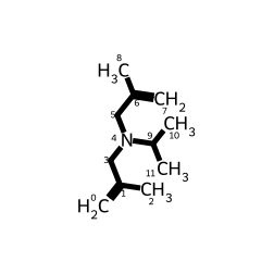 C=C(C)CN(CC(=C)C)C(C)C